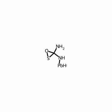 NC1([NH][PbH])OS1